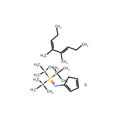 CCC=C(C)C(C)=CCC.C[Si](C)(C)P(=NC1=CC=CC1)([Si](C)(C)C)[Si](C)(C)C.[Ti]